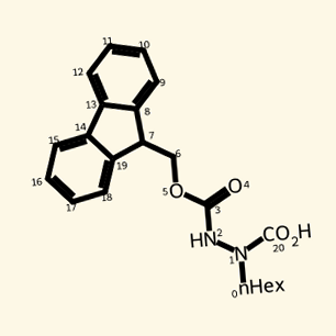 CCCCCCN(NC(=O)OCC1c2ccccc2-c2ccccc21)C(=O)O